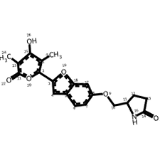 Cc1c(-c2cc3ccc(OCC4CCC(=O)N4)cc3o2)oc(=O)c(C)c1O